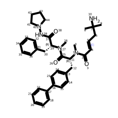 CN(C(=O)/C=C/CC(C)(C)N)[C@H](Cc1ccc(-c2ccccc2)cc1)C(=O)N(C)[C@H](Cc1ccccc1)C(=O)NN1CCCC1